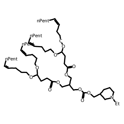 CCCCC/C=C\CCCOC(CCC(=O)OCC(COC(=O)CCC(OCCC/C=C\CCCCC)OCCC/C=C\CCCCC)COC(=O)OCC1CCCN(CC)C1)OCCC/C=C\CCCCC